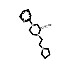 Cl.Cl.Cl.c1ccc(N2CCN(CCN3CCCC3)CC2)nc1